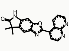 CC1(C)C(=O)Nc2cc3oc(-c4ccnc5ncccc45)nc3cc21